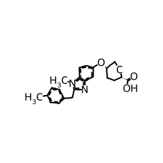 Cc1ccc(Cc2nc3cc(O[C@H]4CC[C@@H](C(=O)O)CC4)ccc3n2C)cc1